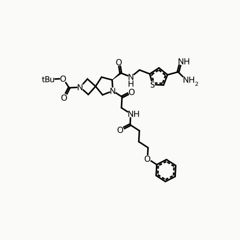 CC(C)(C)OC(=O)N1CC2(C[C@@H](C(=O)NCc3cc(C(=N)N)cs3)N(C(=O)CNC(=O)CCCOc3ccccc3)C2)C1